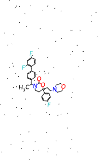 CC(c1ccc(-c2ccc(F)cc2F)cc1)N1CCC(CCN2CCOCC2)(c2ccc(F)cc2)OC1=O